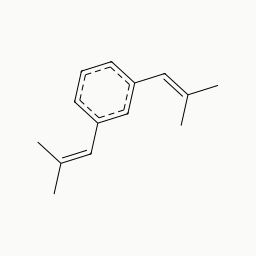 CC(C)=Cc1cccc(C=C(C)C)c1